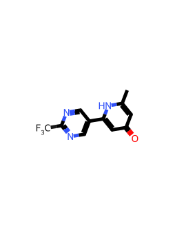 Cc1cc(=O)cc(-c2cnc(C(F)(F)F)nc2)[nH]1